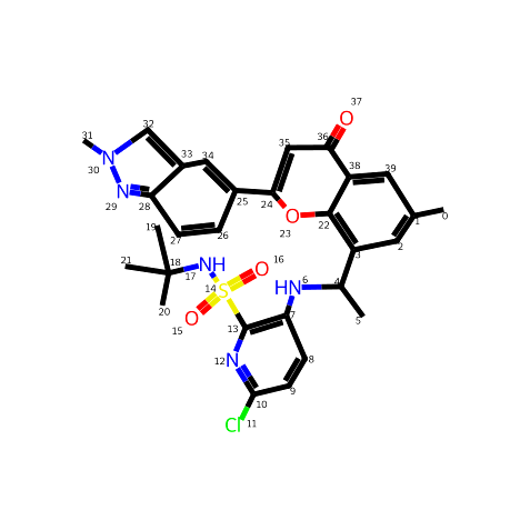 Cc1cc(C(C)Nc2ccc(Cl)nc2S(=O)(=O)NC(C)(C)C)c2oc(-c3ccc4nn(C)cc4c3)cc(=O)c2c1